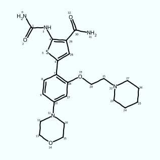 NC(=O)Nc1sc(-c2ccc(N3CCOCC3)cc2OCCN2CCCCC2)cc1C(N)=O